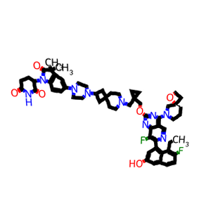 CCc1c(F)ccc2cc(O)cc(-c3ncc4c(N5CCC[C@]6(CCO6)C5)nc(OCC5(CN6CCC7(CC6)CC(N6CCN(c8ccc9c(c8)C(C)(C)C(=O)N9C8CCC(=O)NC8=O)CC6)C7)CC5)nc4c3F)c12